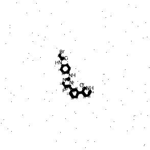 O=C(CBr)NC1CCC(Nc2ncc(F)c(-c3cccc(-c4ccc[nH]c4=O)c3)n2)CC1